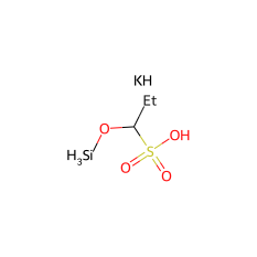 CCC(O[SiH3])S(=O)(=O)O.[KH]